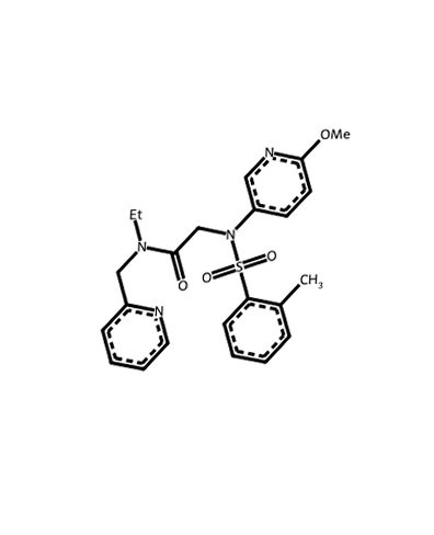 CCN(Cc1ccccn1)C(=O)CN(c1ccc(OC)nc1)S(=O)(=O)c1ccccc1C